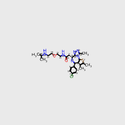 Cc1sc2c(c1C)C(c1ccc(Cl)cc1)=N[C@@H](CC(=O)NCCOCCNC(C)C)c1nnc(C)n1-2